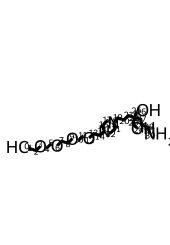 C#CCOCCOCCOCCOCCN1CCN(CCCC(CO)(CO)CCCN)CC1